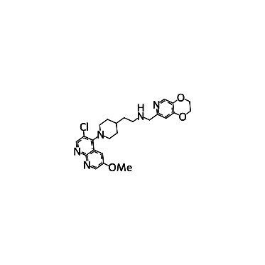 COc1cnc2ncc(Cl)c(N3CCC(CCNCc4cc5c(cn4)OCCO5)CC3)c2c1